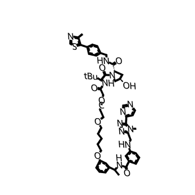 Cc1ncsc1-c1ccc(CNC(=O)[C@@H]2C[C@@H](O)CN2C(=O)C(NC(=O)COCCCOCCCCCOc2cccc(C(C)NC(=O)c3cccc(NCc4nnc(-c5ccncn5)n4C)c3)c2)C(C)(C)C)cc1